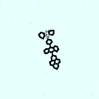 c1ccc([SiH](c2ccccc2)c2ccc(-c3c4ccccc4c(-c4cc5ccc6cccc7ccc(c4)c5c67)c4ccccc34)cc2)cc1